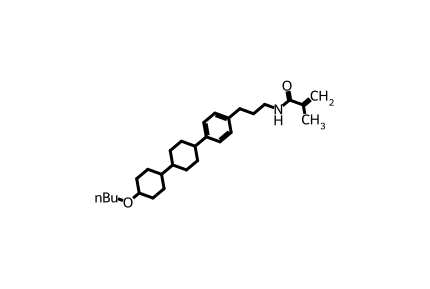 C=C(C)C(=O)NCCCc1ccc(C2CCC(C3CCC(OCCCC)CC3)CC2)cc1